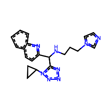 c1ccc2nc(C(NCCCn3ccnc3)c3nnnn3C3CC3)ccc2c1